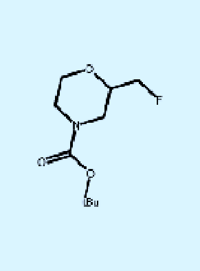 CC(C)(C)OC(=O)N1CCOC(CF)C1